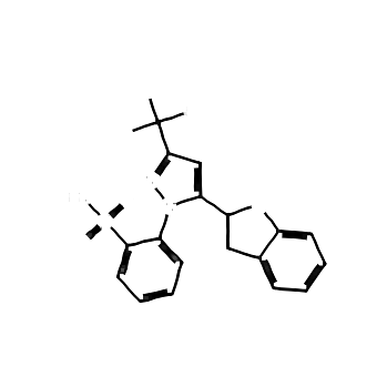 NS(=O)(=O)c1ccccc1-n1nc(C(F)(F)F)cc1C1Cc2ccccc2O1